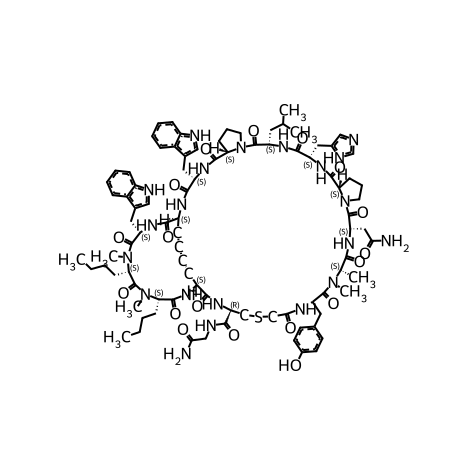 CCCC[C@H]1C(=O)N(C)[C@@H](CCCC)C(=O)N[C@H]2CCCC[C@H](NC(=O)[C@H](Cc3c[nH]c4ccccc34)NC(=O)[C@@H]3CCCN3C(=O)[C@H](CC(C)C)NC(=O)[C@H](Cc3cnc[nH]3)NC(=O)[C@@H]3CCCN3C(=O)[C@H](CC(N)=O)NC(=O)[C@H](C)N(C)C(=O)C(Cc3ccc(O)cc3)NC(=O)CSC[C@@H](C(=O)NCC(N)=O)NC2=O)C(=O)N[C@@H](Cc2c[nH]c3ccccc23)C(=O)N1C